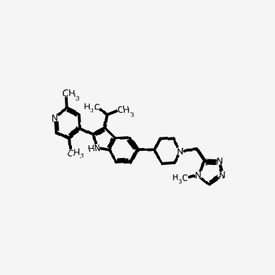 Cc1cc(-c2[nH]c3ccc(C4CCN(Cc5nncn5C)CC4)cc3c2C(C)C)c(C)cn1